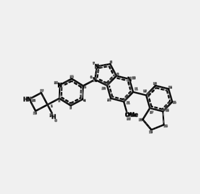 [2H]C1(c2ccc(-n3ncc4nc(-c5cccc6c5CCC6)c(OC)cc43)cn2)CNC1